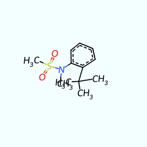 CN(c1ccccc1C(C)(C)C)S(C)(=O)=O